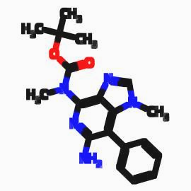 CN(C(=O)OC(C)(C)C)c1nc(N)c(-c2ccccc2)c2c1ncn2C